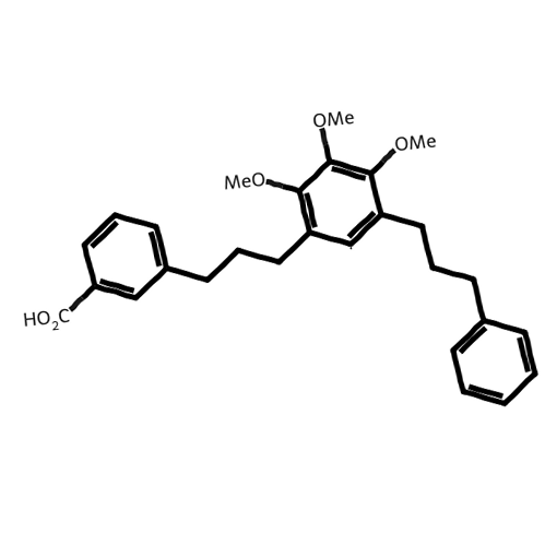 COc1c(CCCc2ccccc2)[c]c(CCCc2cccc(C(=O)O)c2)c(OC)c1OC